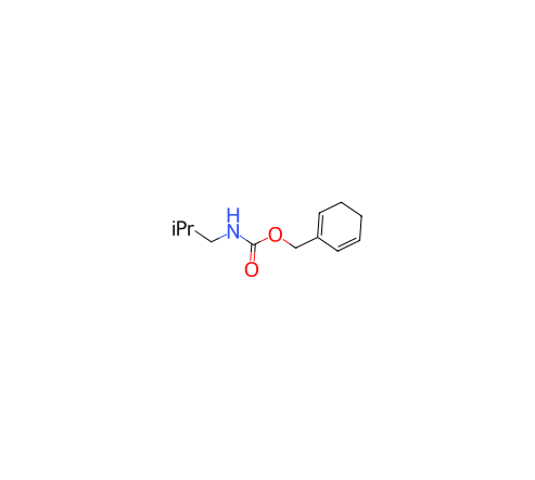 CC(C)CNC(=O)OCC1=CCCC=C1